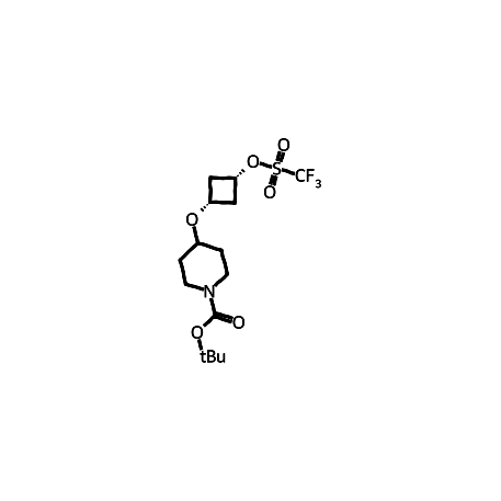 CC(C)(C)OC(=O)N1CCC(O[C@H]2C[C@@H](OS(=O)(=O)C(F)(F)F)C2)CC1